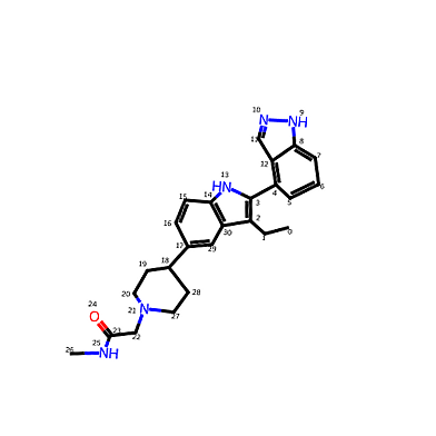 CCc1c(-c2cccc3[nH]ncc23)[nH]c2ccc(C3CCN(CC(=O)NC)CC3)cc12